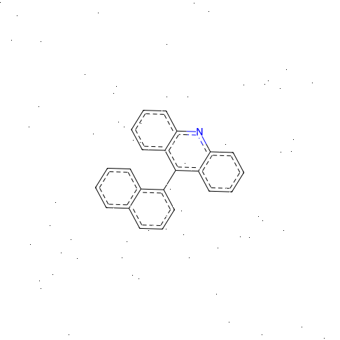 c1ccc2c(-c3c4ccccc4nc4ccccc34)cccc2c1